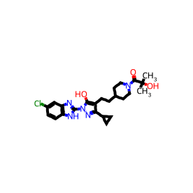 CC(C)(O)C(=O)N1CCC(CCc2c(C3CC3)nn(-c3nc4cc(Cl)ccc4[nH]3)c2O)CC1